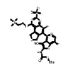 CCS(=O)(=O)c1nc(OCC[Si](C)(C)C)c2c3c(c(-c4ncc(F)c5sc(NC(=O)OC(C)(C)C)c(C#N)c45)c(F)c2n1)COC3